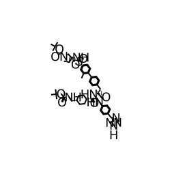 Cc1cc(S(=O)(=O)N[C@@H]2CCN(C(=O)OC(C)(C)C)C2)ccc1-c1ccc(C[C@H](NC(=O)[C@H]2CC[C@H](CNC(=O)OC(C)(C)C)CC2)C(=O)Nc2ccc(-c3nn[nH]n3)cc2)cc1